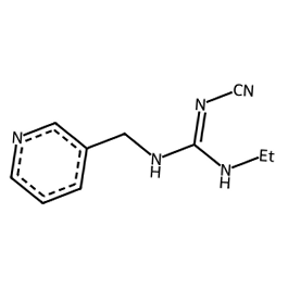 CCNC(=NC#N)NCc1cccnc1